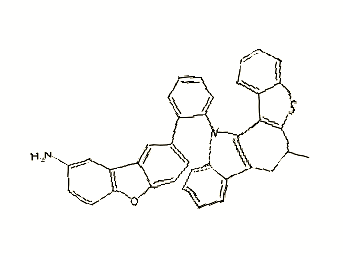 CC1Cc2c(n(-c3ccccc3-c3ccc4oc5ccc(N)cc5c4c3)c3ccccc23)-c2c1sc1ccccc21